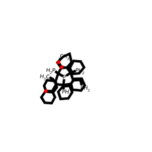 CCC(C1CCCCC1)C(P)(C1CCCCC1)P(C(P)(C1CCCCC1)C(CC)C1CCCCC1)C(P)(C1CCCCC1)C(CC)C1CCCCC1